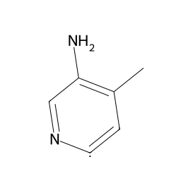 Cc1c[c]ncc1N